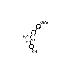 COc1ccc(C2CCC([C@@H](C)C(=O)Nc3ccc(C#N)cc3)CC2)cc1